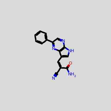 N#CC(=Cc1c[nH]c2ncc(-c3ccccc3)nc12)C(N)=O